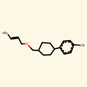 CCCC/C=C/COCC1CCC(c2ccc(C#N)cc2)CC1